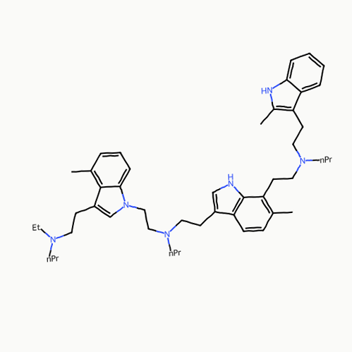 CCCN(CC)CCc1cn(CCN(CCC)CCc2c[nH]c3c(CCN(CCC)CCc4c(C)[nH]c5ccccc45)c(C)ccc23)c2cccc(C)c12